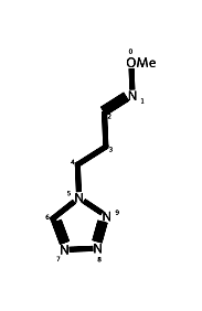 CON=CCCn1[c]nnn1